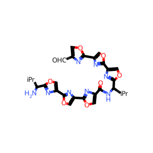 CC(C)C(N)c1nc(-c2nc(-c3nc(C(=O)NC(c4nc(-c5nc(-c6nc(C=O)co6)co5)co4)C(C)C)co3)co2)co1